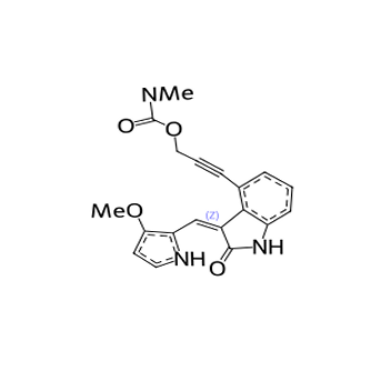 CNC(=O)OCC#Cc1cccc2c1/C(=C/c1[nH]ccc1OC)C(=O)N2